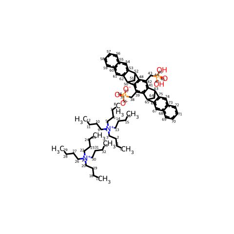 CCCC[N+](CCCC)(CCCC)CCCC.CCCC[N+](CCCC)(CCCC)CCCC.O=P([O-])([O-])Cc1c2c(c(CP(=O)(O)O)c3c1C1CC3c3cc4ccccc4cc31)C1CC2c2cc3ccccc3cc21